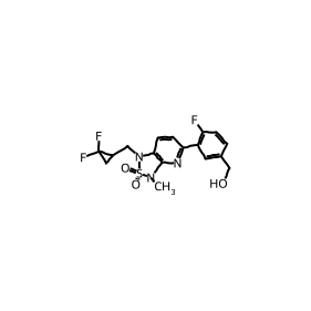 CN1c2nc(-c3cc(CO)ccc3F)ccc2N(CC2CC2(F)F)S1(=O)=O